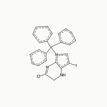 ClC1=Nc2c(c(I)cn2C(c2ccccc2)(c2ccccc2)c2ccccc2)NC1